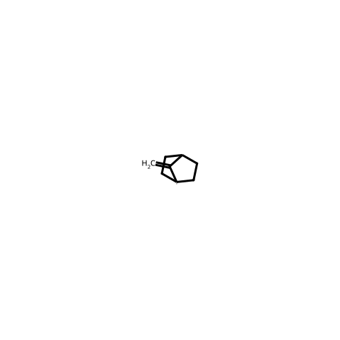 C=C1[C]2CCC1CC2